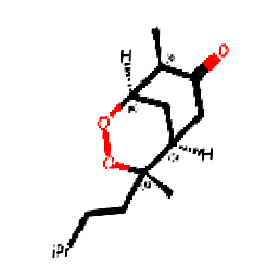 CC(C)CC[C@]1(C)OO[C@@H]2C[C@H]1CC(=O)[C@@H]2C